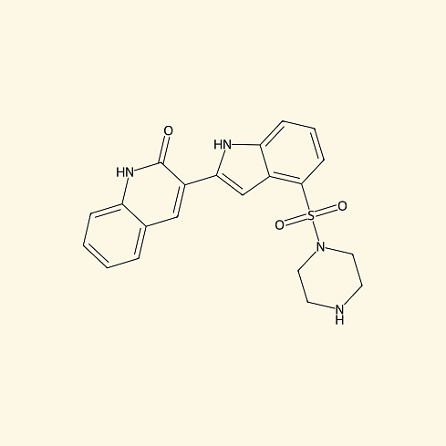 O=c1[nH]c2ccccc2cc1-c1cc2c(S(=O)(=O)N3CCNCC3)cccc2[nH]1